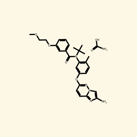 COCCOc1cccc(C(=O)N(c2cc(Oc3ccc4nc(N)cn4n3)ccc2C)C(C)(C)C)c1.NC(=O)O